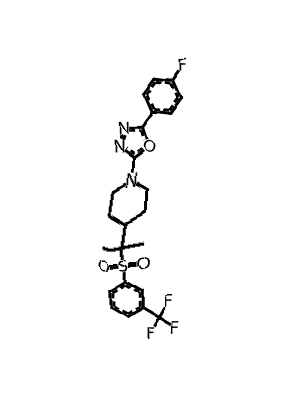 CC(C)(C1CCN(c2nnc(-c3ccc(F)cc3)o2)CC1)S(=O)(=O)c1cccc(C(F)(F)F)c1